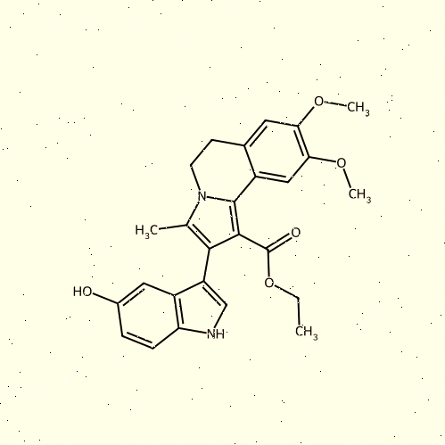 CCOC(=O)c1c(-c2c[nH]c3ccc(O)cc23)c(C)n2c1-c1cc(OC)c(OC)cc1CC2